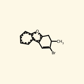 CC1Cc2oc3ccccc3c2C=C1Br